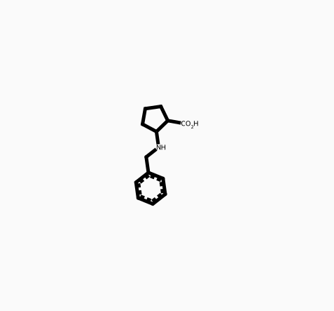 O=C(O)C1CCCC1NCc1ccccc1